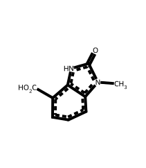 Cn1c(=O)[nH]c2c(C(=O)O)cccc21